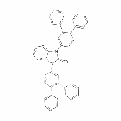 O=c1n(-c2ccc(-c3ccccc3)c(-c3ccccc3)c2)c2ccccc2n1-c1ccc(-c2ccccc2)c(-c2ccccc2)c1